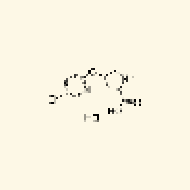 CN1CC(Oc2ccc(Cl)cn2)CC1C(=O)O.Cl